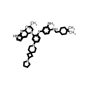 C[C@@H]1CN(c2cc(N3CCC4(CC3)CC(N3CCCC3)C4)ccc2Sc2ccc(NCC3CCC(C)(C)CC3)c(N)c2)C2C=c3cc[nH]c3=NC2O1